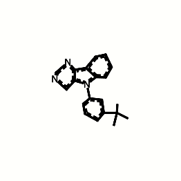 CC(C)(C)c1cccc(-n2c3ccccc3c3ncncc32)c1